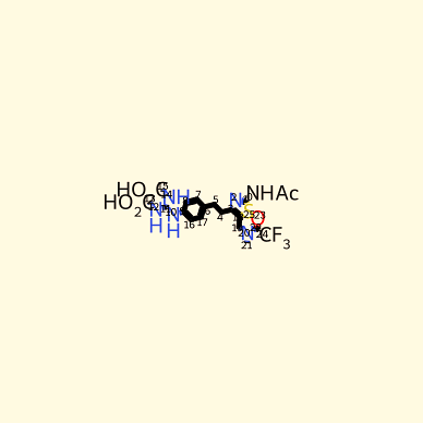 CC(=O)Nc1nc(CCc2ccc(NC(NC(=O)O)NC(=O)O)cc2)c(CN(C)C(=O)C(F)(F)F)s1